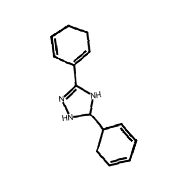 C1=CCC(C2NN=C(C3=CCCC=C3)N2)C=C1